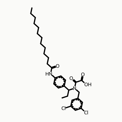 CCCCCCCCCCCCC(=O)Nc1ccc(C(CC)N(Cc2cc(Cl)cc(Cl)c2)C(=O)C(=O)O)cc1